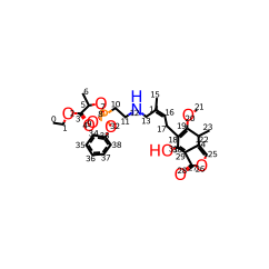 CCOC(=O)C(C)OP(=O)(CCNCC(C)=CCC1=C(OC)C(C)C2=COC(=O)C2=C1O)Oc1ccccc1